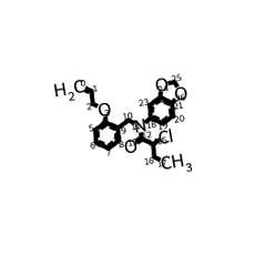 C=CCOc1ccccc1CN(C(=O)C(Cl)CC)c1ccc2c(c1)OCO2